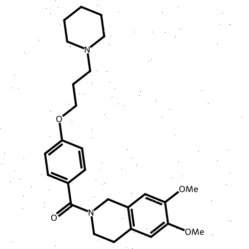 COc1cc2c(cc1OC)CN(C(=O)c1ccc(OCCCN3CCCCC3)cc1)CC2